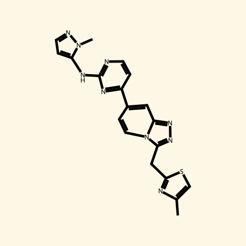 Cc1csc(Cc2nnc3cc(-c4ccnc(Nc5ccnn5C)n4)ccn23)n1